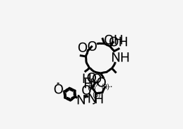 COc1ccc(N=C2O[C@H]3[C@H](OC4C(C)CC(C)C(=O)OCC(C)(O)C(O)C(C)NCC(C)CC4(C)O)O[C@H](C)C[C@@H]3N2C)cc1